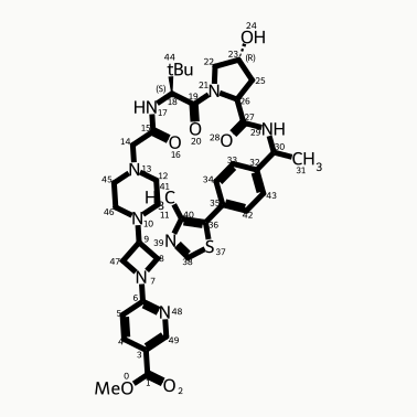 COC(=O)c1ccc(N2CC(N3CCN(CC(=O)N[C@H](C(=O)N4C[C@H](O)CC4C(=O)NC(C)c4ccc(-c5scnc5C)cc4)C(C)(C)C)CC3)C2)nc1